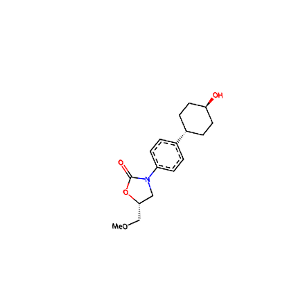 COC[C@H]1CN(c2ccc([C@H]3CC[C@H](O)CC3)cc2)C(=O)O1